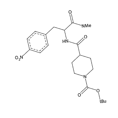 CNC(=O)C(Cc1ccc([N+](=O)[O-])cc1)NC(=O)C1CCN(C(=O)OC(C)(C)C)CC1